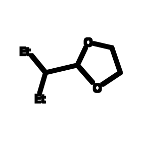 CCC(CC)C1OCCO1